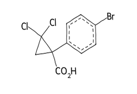 O=C(O)C1(c2ccc(Br)cc2)CC1(Cl)Cl